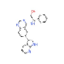 OC[C@H](Nc1ncnc2ccc(-c3c[nH]c4ncccc34)cc12)c1ccccc1